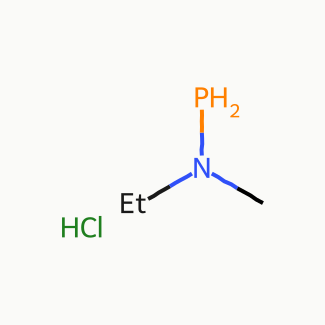 CCN(C)P.Cl